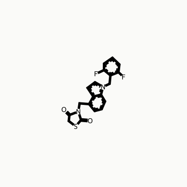 O=C1CSC(=O)N1Cc1cccc2c1ccn2Cc1c(F)cccc1F